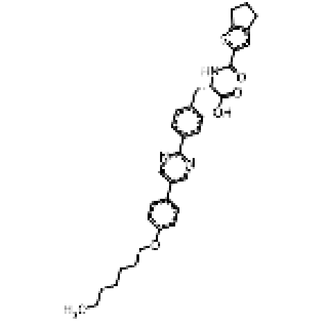 CCCCCCCOc1ccc(-c2cnc(-c3ccc(C[C@H](NC(=O)c4cc5c(s4)CCC5)C(=O)O)cc3)nc2)cc1